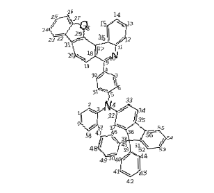 c1ccc(N(c2ccc(-c3nc4ccccc4c4c3ccc3c5ccccc5oc34)cc2)c2ccc3c(c2)C(c2ccccc2)(c2ccccc2)c2ccccc2-3)cc1